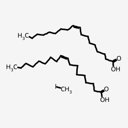 CCCCCCCC/C=C\CCCCCCCC(=O)O.CCCCCCCC/C=C\CCCCCCCC(=O)O.CI